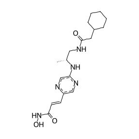 C[C@H](CNC(=O)CC1CCCCC1)Nc1cnc(C=CC(=O)NO)cn1